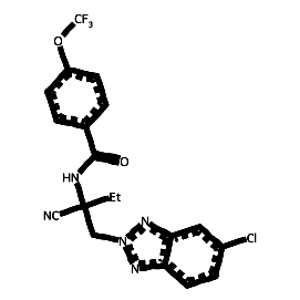 CCC(C#N)(Cn1nc2ccc(Cl)cc2n1)NC(=O)c1ccc(OC(F)(F)F)cc1